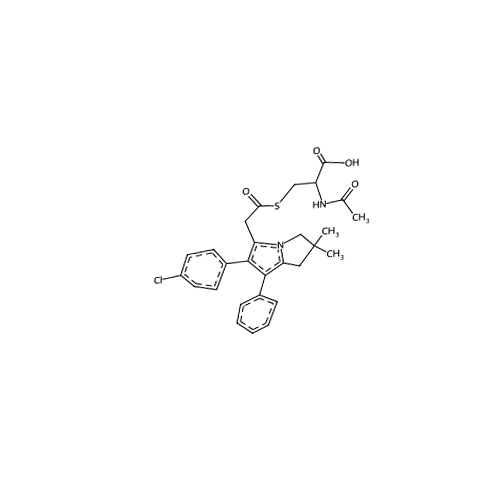 CC(=O)NC(CSC(=O)Cc1c(-c2ccc(Cl)cc2)c(-c2ccccc2)c2n1CC(C)(C)C2)C(=O)O